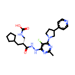 Cc1nc(NNC(=O)[C@@H](CNC(=O)O)CC2CCCC2)c(F)c(N2CCC(c3ccncc3)C2)n1